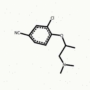 CC(CN(C)C)Oc1ccc(C#N)cc1Cl